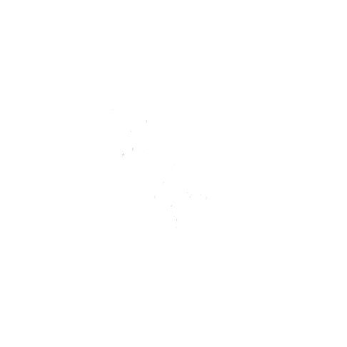 C=CC(=O)Oc1ccc2c(c1)OC(=O)C(=O)C2C